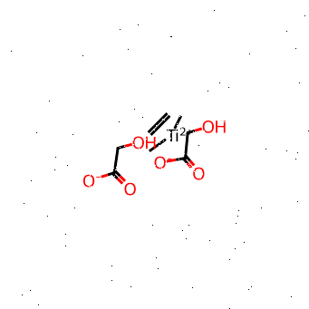 C=C.O=C([O-])CO.O=C([O-])CO.[CH3][Ti+2][CH3]